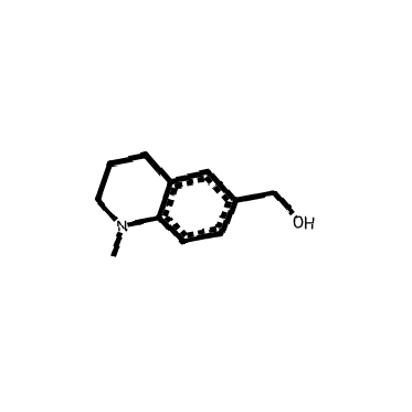 CN1CCCc2cc(CO)ccc21